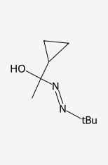 CC(C)(C)/N=N/C(C)(O)C1CC1